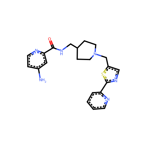 Nc1ccnc(C(=O)NCC2CCN(Cc3cnc(-c4ccccn4)s3)CC2)c1